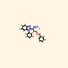 NC(CCOCc1ccccc1)c1nc2ccc(F)cc2n1-c1ccccc1